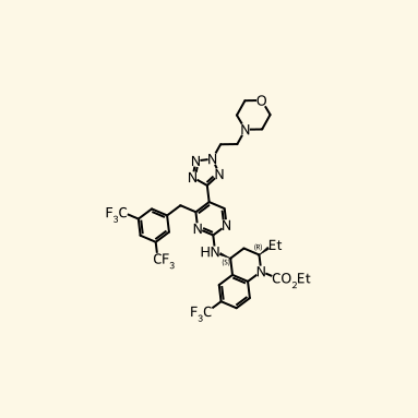 CCOC(=O)N1c2ccc(C(F)(F)F)cc2[C@@H](Nc2ncc(-c3nnn(CCN4CCOCC4)n3)c(Cc3cc(C(F)(F)F)cc(C(F)(F)F)c3)n2)C[C@H]1CC